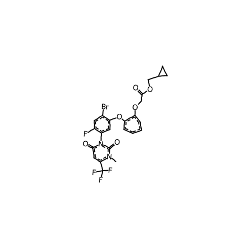 Cn1c(C(F)(F)F)cc(=O)n(-c2cc(Oc3ccccc3OCC(=O)OCC3CC3)c(Br)cc2F)c1=O